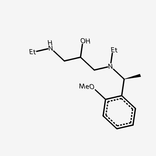 CCNCC(O)CN(CC)[C@@H](C)c1ccccc1OC